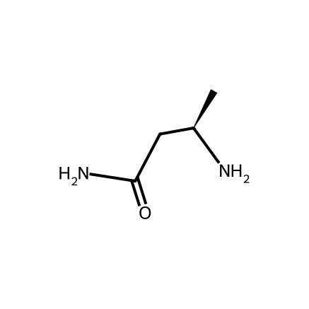 C[C@@H](N)CC(N)=O